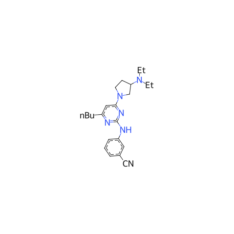 CCCCc1cc(N2CCC(N(CC)CC)C2)nc(Nc2cccc(C#N)c2)n1